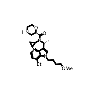 CCc1ccnc2c([C@@H](C)N(C(=O)[C@H]3CNCCO3)C3CC3)cn(CCCCOC)c12